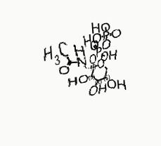 CC(=O)NC[C@]1(OP(=O)(O)OP(=O)(O)O)OC[C@H](O)[C@@H](O)[C@@H]1O